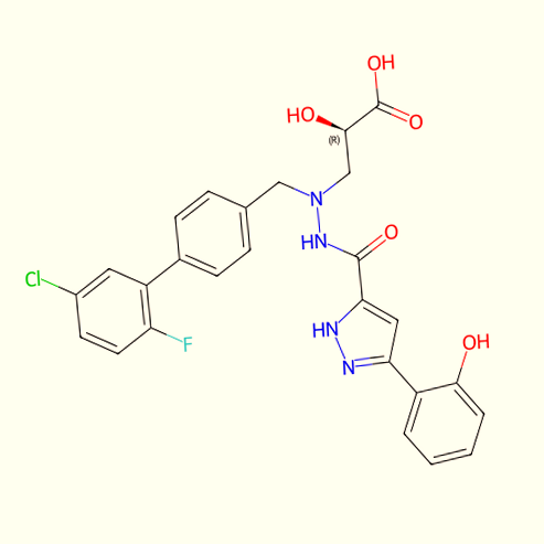 O=C(NN(Cc1ccc(-c2cc(Cl)ccc2F)cc1)C[C@@H](O)C(=O)O)c1cc(-c2ccccc2O)n[nH]1